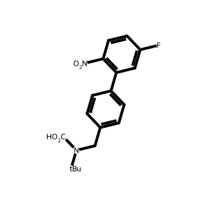 CC(C)(C)N(Cc1ccc(-c2cc(F)ccc2[N+](=O)[O-])cc1)C(=O)O